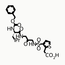 CC(C)C[C@H](NC(=O)OCc1ccccc1)C(=O)NCC(=O)CNS(=O)(=O)c1ccsc1CC(=O)O